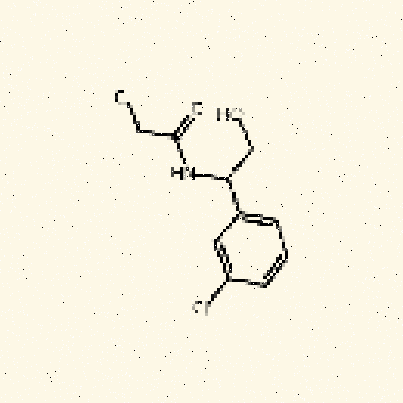 O=C(CCl)NC(CO)c1cccc(Cl)c1